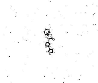 O=C1O[C@]2(CN3CCC2CC3)CN1c1cc(-c2ccoc2)cs1